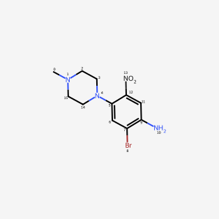 CN1CCN(c2cc(Br)c(N)cc2[N+](=O)[O-])CC1